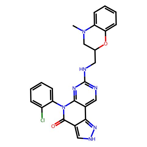 CN1CC(CNc2ncc3c4n[nH]cc4c(=O)n(-c4ccccc4Cl)c3n2)Oc2ccccc21